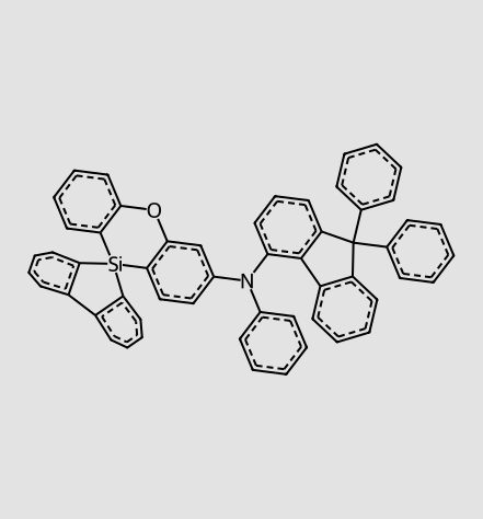 c1ccc(N(c2ccc3c(c2)Oc2ccccc2[Si]32c3ccccc3-c3ccccc32)c2cccc3c2-c2ccccc2C3(c2ccccc2)c2ccccc2)cc1